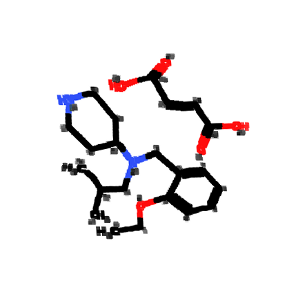 CCOc1ccccc1CN(CC(C)C)C1CCNCC1.O=C(O)C=CC(=O)O